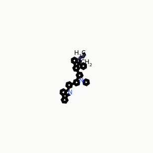 C=C(/C=C\C=C/C)C1(c2ccccc2)c2ccccc2-c2ccc(-c3ccc4c(c3)c3cc(-c5cccc(-c6ncc7c8c(cccc68)-c6ccccc6-7)c5)ccc3n4-c3ccccc3)cc21